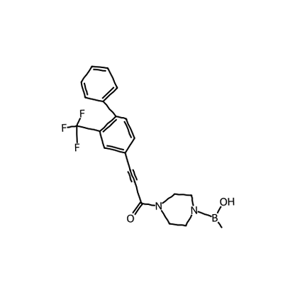 CB(O)N1CCN(C(=O)C#Cc2ccc(-c3ccccc3)c(C(F)(F)F)c2)CC1